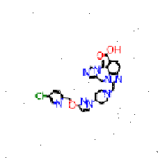 CCn1cncc1Cn1c(CN2CCC(n3ccc(OCc4ccc(Cl)cn4)n3)CC2)nc2ccc(C(=O)O)cc21